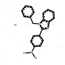 CCN(CC)c1ccc(-c2sc3ccccc3[n+]2Cc2ccccc2)cc1.[Cl-]